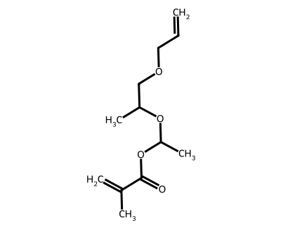 C=CCOCC(C)OC(C)OC(=O)C(=C)C